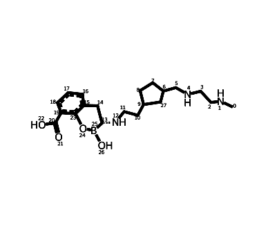 CNCCNCC1CCC(CCN[C@H]2Cc3cccc(C(=O)O)c3OB2O)C1